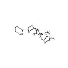 CN/C(=C\c1c[nH]cn1)C(=O)Nc1nc(-c2ccccc2)cs1